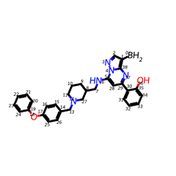 Bc1cnn2c(NCC3CCCN(Cc4ccc(Oc5ccccc5)cc4)C3)cc(-c3ccccc3O)nc12